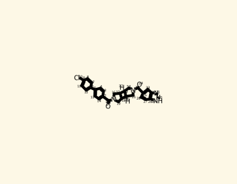 O=C(c1ccc(-c2ccc(Cl)cc2)cc1)N1CC2C(C1)[C@@H]1CN(C(=O)c3ccc4[nH]nnc4c3)C[C@H]21